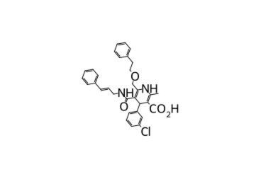 CC1=C(C(=O)O)C(c2cccc(Cl)c2)C(C(=O)NCC=Cc2ccccc2)=C(COCCc2ccccc2)N1